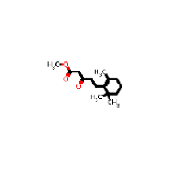 COC(=O)CC(=O)CCC1=C(C)CCCC1(C)C